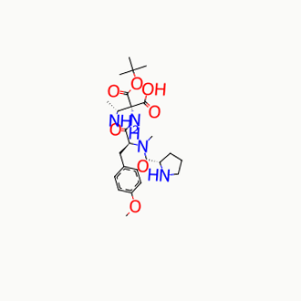 COc1ccc(C[C@@H](C(=O)N[C@@](C(=O)O)(C(=O)OC(C)(C)C)[C@@H](C)N)N(C)C(=O)[C@@H]2CCCN2)cc1